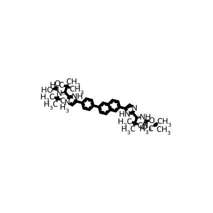 CC(C)(C)OC(=O)N[C@H](c1ncc(-c2ccc3cc(-c4ccc(-c5cnc([C@@H](N(C(=O)O)C(C)(C)C)C(C)(C)C)[nH]5)cc4)ccc3c2)[nH]1)C(C)(C)C